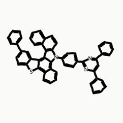 c1ccc(-c2ccc3sc4c5ccccc5c5c(c4c3c2)c2c3ccccc3ccc2n5-c2ccc(-c3nc(-c4ccccc4)cc(-c4ccccc4)n3)cc2)cc1